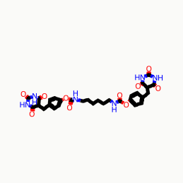 O=C1NC(=O)C(Cc2ccc(OC(=O)NCCCCCCNC(=O)Oc3ccc(CC4C(=O)NC(=O)NC4=O)cc3)cc2)C(=O)N1